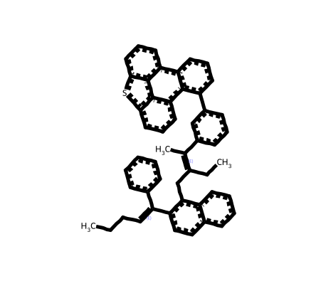 CCC/C=C(\c1ccccc1)c1ccc2ccccc2c1C/C(CC)=C(\C)c1cccc(-c2cccc3c4cccc5sc6cccc(c23)c6c54)c1